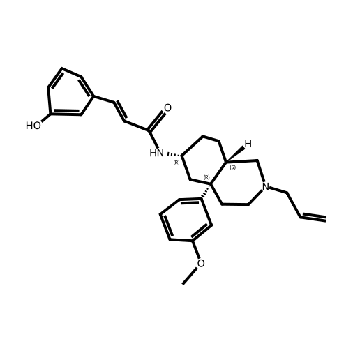 C=CCN1CC[C@@]2(c3cccc(OC)c3)C[C@H](NC(=O)C=Cc3cccc(O)c3)CC[C@@H]2C1